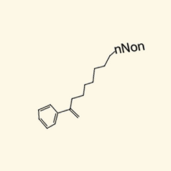 C=C(CCCCCCCCCCCCCCCC)c1ccccc1